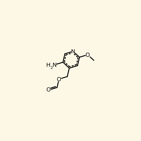 COc1cc(COC=O)c(N)cn1